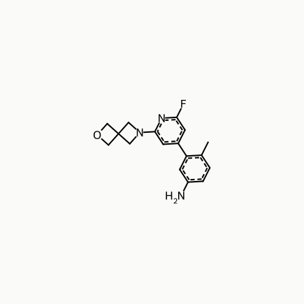 Cc1ccc(N)cc1-c1cc(F)nc(N2CC3(COC3)C2)c1